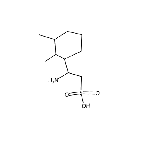 CC1CCCC(C(N)CS(=O)(=O)O)C1C